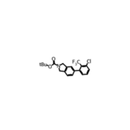 CC(C)(C)OC(=O)N1Cc2ccc(-c3cccc(Cl)c3C(F)(F)F)cc2C1